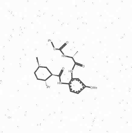 COc1ccc(NC(=O)[C@@H]2C[C@H](C)CC[C@H]2C(C)C)c(NC(=O)[C@@H](C)NC(=O)OC(C)C)c1